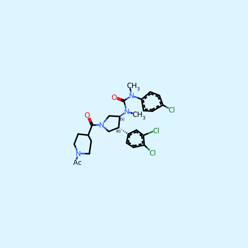 CC(=O)N1CCC(C(=O)N2C[C@@H](N(C)C(=O)N(C)c3ccc(Cl)cc3)[C@H](c3ccc(Cl)c(Cl)c3)C2)CC1